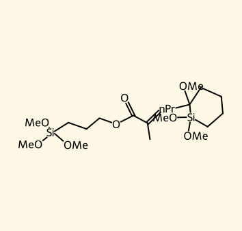 C=C(C)C(=O)OCCC[Si](OC)(OC)OC.CCCC1(OC)CCCC[Si]1(OC)OC